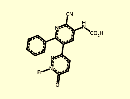 CC(C)n1nc(-c2cc(NC(=O)O)c(C#N)nc2-c2ccccc2)ccc1=O